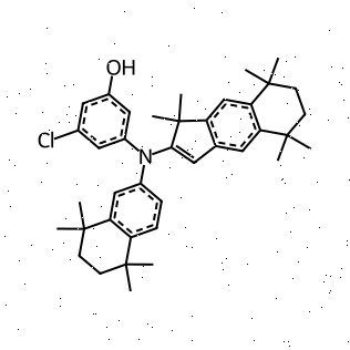 CC1(C)CCC(C)(C)c2cc(N(C3=Cc4cc5c(cc4C3(C)C)C(C)(C)CCC5(C)C)c3cc(O)cc(Cl)c3)ccc21